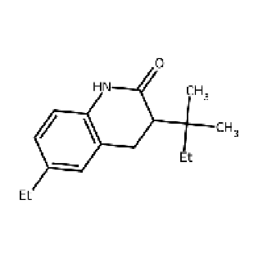 CCc1ccc2c(c1)CC(C(C)(C)CC)C(=O)N2